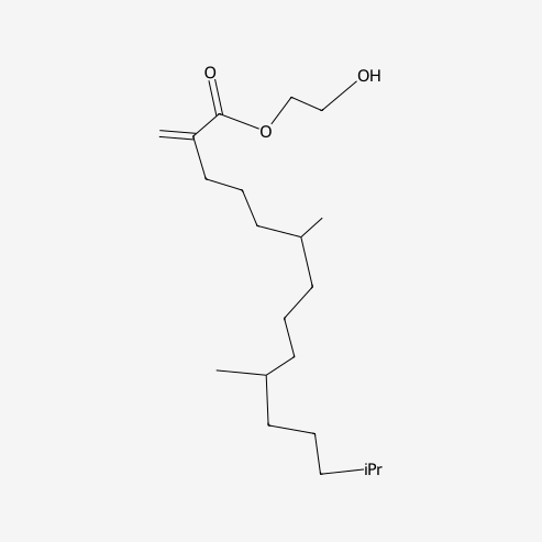 C=C(CCCC(C)CCCC(C)CCCC(C)C)C(=O)OCCO